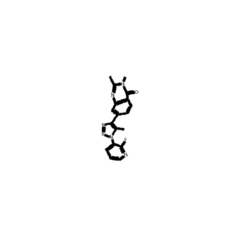 Cc1c(-c2ccc3c(=O)n(C)c(C)nc3c2)nnn1-c1cccnc1F